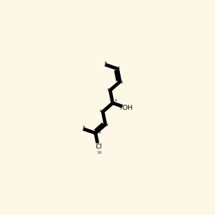 C/C=C\CC(O)C/C=C(\C)Cl